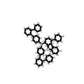 c1ccc(-c2ccccc2-c2ccc(N(c3ccc(-c4ccccc4-c4ccccc4)cc3)c3ccc(-c4ccccc4)c4c3oc3ccccc34)cc2)cc1